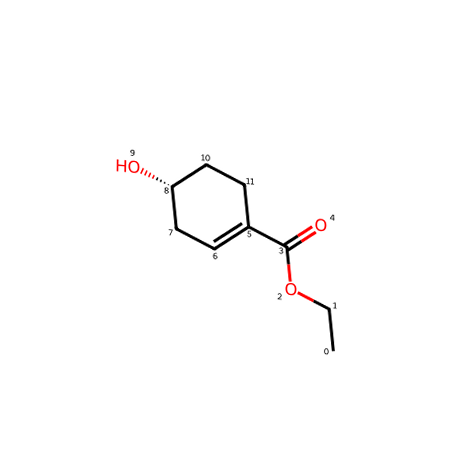 CCOC(=O)C1=CC[C@H](O)CC1